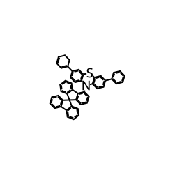 C1=CCCC(c2ccc3c(c2)Sc2cc(-c4ccccc4)ccc2N3c2cccc3c2-c2ccccc2C32c3ccccc3-c3ccccc32)=C1